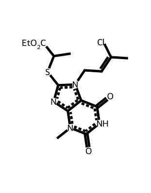 CCOC(=O)C(C)Sc1nc2c(c(=O)[nH]c(=O)n2C)n1C/C=C(/C)Cl